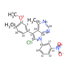 COc1cc(-c2c(Cl)n(-c3cccc([N+](=O)[O-])c3)c3ncnc(C)c23)ccc1C